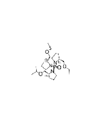 CCOC[C@@H]1CCCN1P(=O)(N1CCC[C@H]1COSC)N1CCC[C@H]1COC(C)C